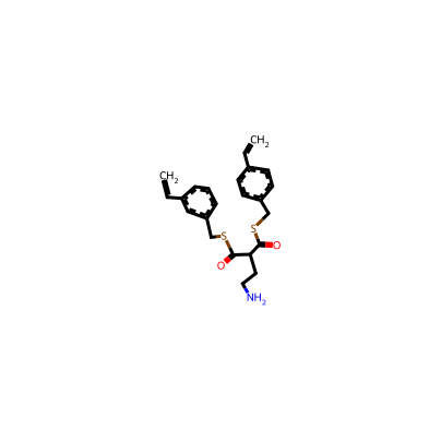 C=Cc1ccc(CSC(=O)C(CCN)C(=O)SCc2cccc(C=C)c2)cc1